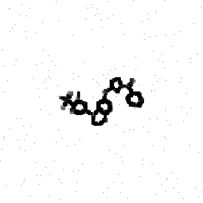 Cc1cc(N2CCOc3ccc(OC4CCN(C(=O)c5ccccc5)C4)cc32)cnc1S(C)(=O)=O